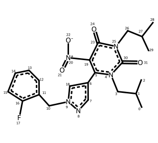 CC(C)Cn1c(-c2cnn(Cc3ccccc3F)c2)c([N+](=O)[O-])c(=O)n(CC(C)C)c1=O